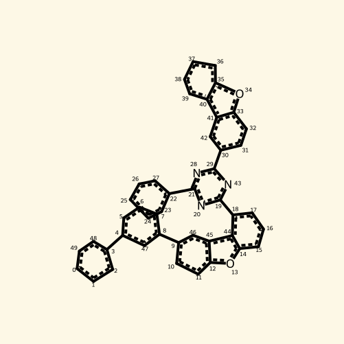 c1ccc(-c2cccc(-c3ccc4oc5cccc(-c6nc(-c7ccccc7)nc(-c7ccc8oc9ccccc9c8c7)n6)c5c4c3)c2)cc1